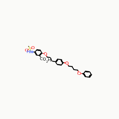 CS(=O)(=O)Nc1ccc(OCCCc2ccc(OCCCCOc3ccccc3)cc2)c(C(=O)O)c1